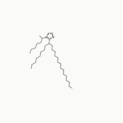 CCCCCCCCCCCCCCCC(CCCCCCCC)c1nccn1C(C)CCCCC